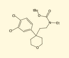 CCN(CCC1(c2ccc(Cl)c(Cl)c2)CCOCC1)C(=O)OC(C)(C)C